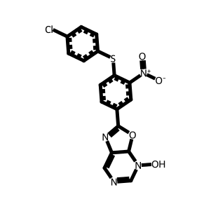 O=[N+]([O-])c1cc(C2=NC3=CN=CN(O)C3O2)ccc1Sc1ccc(Cl)cc1